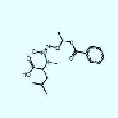 CC(C)C[C@@H](C(=O)O)N(C)/[N+]([O-])=N\OC(C)OC(=O)c1ccccc1